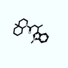 CC(CC(=O)N1CCCC2(C)CCCCC12)c1cn(C)c2ccccc12